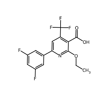 CCOc1nc(-c2cc(F)cc(F)c2)cc(C(F)(F)F)c1C(=O)O